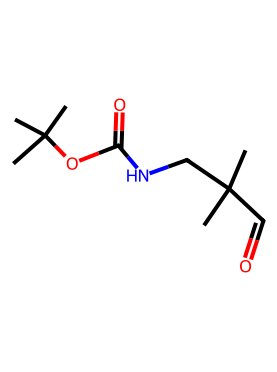 CC(C)(C=O)CNC(=O)OC(C)(C)C